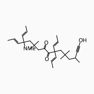 CC=CC(C=CC)(CC(C)(C)CC(=O)C(=O)C(C=CC)(C=CC)CC(C)(C)CC(C)C#CO)NC